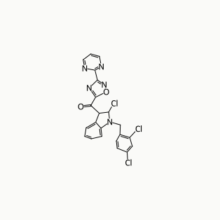 O=C(c1nc(-c2ncccn2)no1)C1c2ccccc2N(Cc2ccc(Cl)cc2Cl)C1Cl